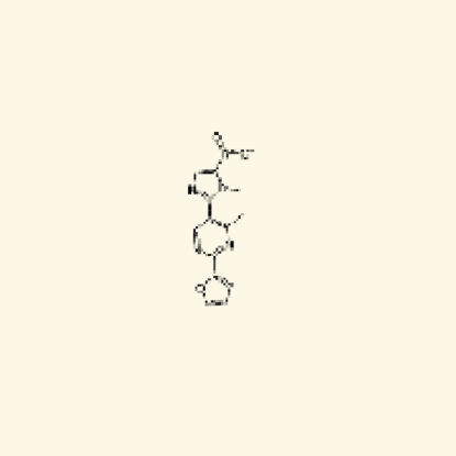 Cc1nc(-c2ccco2)ncc1-c1ncc([N+](=O)[O-])n1C